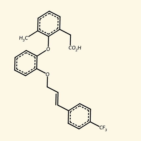 Cc1cccc(CC(=O)O)c1Oc1ccccc1OC/C=C/c1ccc(C(F)(F)F)cc1